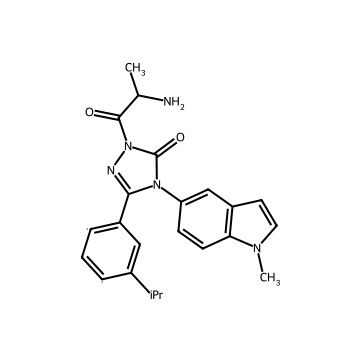 CC(N)C(=O)n1nc(-c2[c]c[c]c(C(C)C)c2)n(-c2ccc3c(ccn3C)c2)c1=O